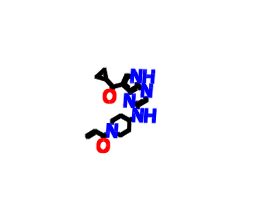 C=CC(=O)N1CCC(Nc2cnc3[nH]cc(C(=O)C4CC4)c3n2)CC1